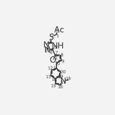 CC(=O)CSc1nnc(-c2ccc(-c3ccc4ccn(C)c4c3)o2)[nH]1